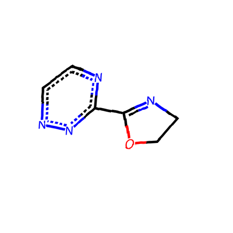 c1cnc(C2=NCCO2)nn1